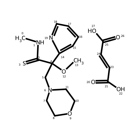 CNC(=S)C(CN1CCOCC1)(OC)c1ccccn1.O=C(O)C=CC(=O)O